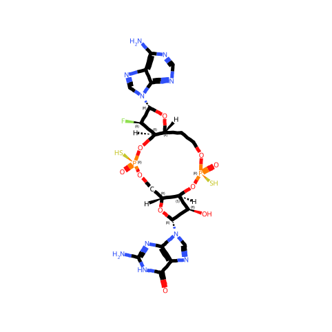 Nc1nc2c(ncn2[C@@H]2O[C@@H]3CO[P@@](=O)(S)O[C@H]4[C@@H](F)[C@H](n5cnc6c(N)ncnc65)O[C@@H]4CCO[P@@](=O)(S)O[C@H]3[C@H]2O)c(=O)[nH]1